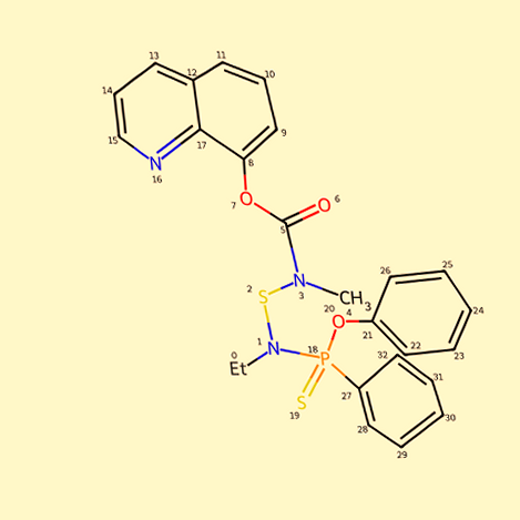 CCN(SN(C)C(=O)Oc1cccc2cccnc12)P(=S)(Oc1ccccc1)c1ccccc1